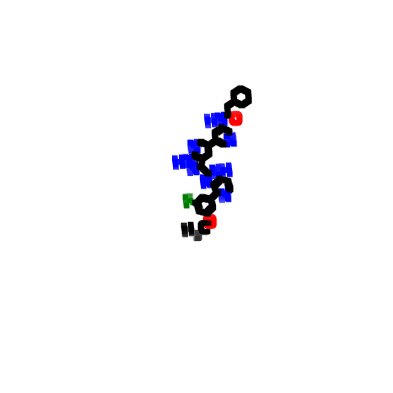 COc1cc(F)cc(-c2nccc3[nH]c(-c4n[nH]c5ncc(-c6cncc(NC(=O)CC7CCCCC7)c6)cc45)nc23)c1